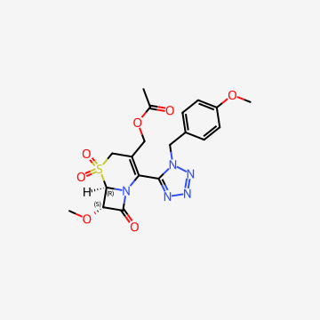 COc1ccc(Cn2nnnc2C2=C(COC(C)=O)CS(=O)(=O)[C@@H]3[C@@H](OC)C(=O)N23)cc1